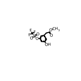 COC(=O)Cc1cc(O)cc(OS(=O)(=O)C(F)(F)F)c1